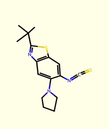 CC(C)(C)c1nc2cc(N3CCCC3)c(N=C=S)cc2s1